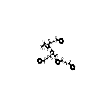 C[C@H]1C(S[C@H]2C[C@@H](C(=O)Nc3cccc(C(=O)OCOC(=O)c4ccccc4)c3)N(C(=O)OCOC(=O)c3ccccc3)C2)=C(C(=O)OCOC(=O)c2ccccc2)N2C(=O)[C@H]([C@@H](C)O)C12